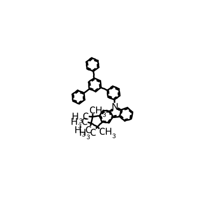 CC1(C)c2cc3c4ccccc4n(-c4cccc(-c5cc(-c6ccccc6)cc(-c6ccccc6)c5)c4)c3cc2C(C)(C)C1(C)C